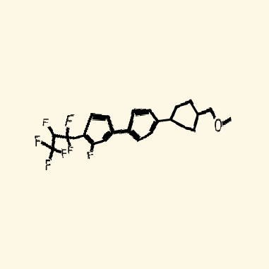 COCC1CCC(c2ccc(-c3ccc(C(F)(F)C(F)C(F)(F)F)c(F)c3)cc2)CC1